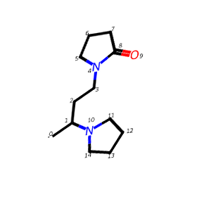 [CH2]C(CCN1CCCC1=O)N1CCCC1